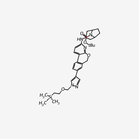 CC(C)(C)OC(=O)N1C2CCC1CC(Nc1ccc3c(n1)OCc1cc(-c4cnn(COCC[Si](C)(C)C)c4)ccc1-3)C2